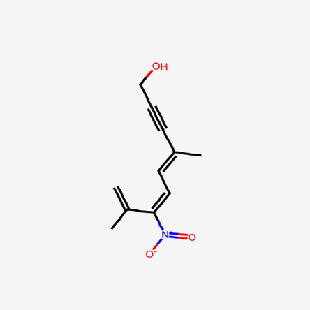 C=C(C)/C(=C\C=C(/C)C#CCO)[N+](=O)[O-]